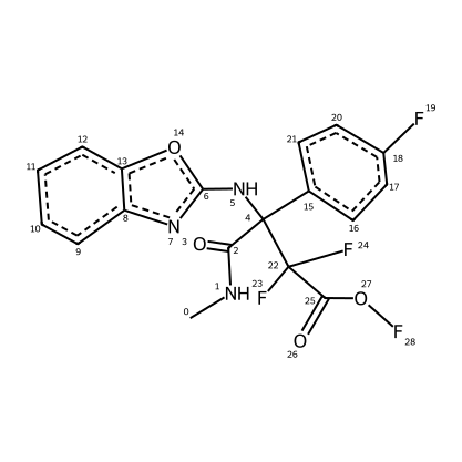 CNC(=O)C(Nc1nc2ccccc2o1)(c1ccc(F)cc1)C(F)(F)C(=O)OF